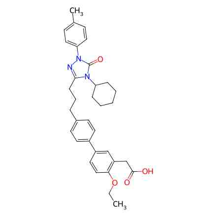 CCOc1ccc(-c2ccc(CCCc3nn(-c4ccc(C)cc4)c(=O)n3C3CCCCC3)cc2)cc1CC(=O)O